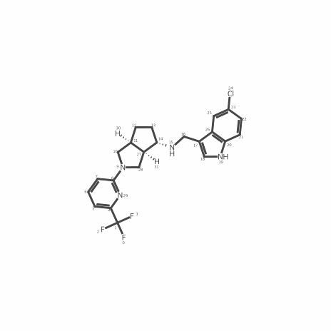 FC(F)(F)c1cccc(N2C[C@H]3CC[C@H](NCc4c[nH]c5ccc(Cl)cc45)[C@H]3C2)n1